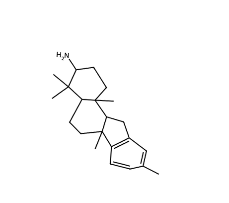 Cc1ccc2c(c1)CC1C2(C)CCC2C(C)(C)C(N)CCC12C